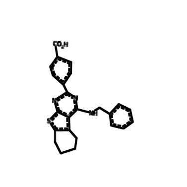 O=C(O)c1ccc(-c2nc(NCc3ccccc3)c3c4c(sc3n2)CCCC4)cc1